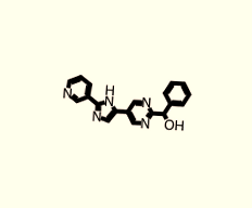 OC(c1ccccc1)c1ncc(-c2cnc(-c3cccnc3)[nH]2)cn1